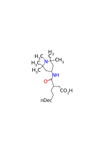 CCCCCCCCCCCCC(CC(=O)O)C(=O)NC1CC(C)(C)N(C)C(C)(C)C1